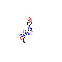 CC1CN(C2CC[S+]([O-])CC2)CC1NC(=O)C1C=C(C2CC2)ON1